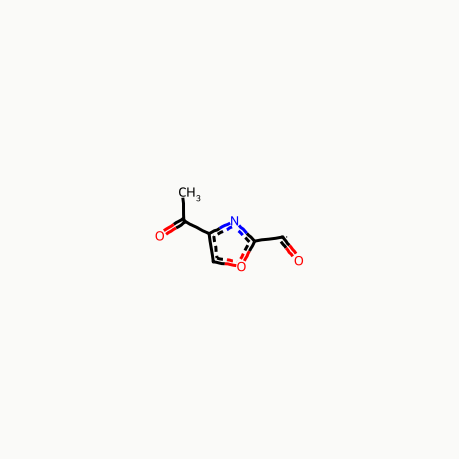 CC(=O)c1coc([C]=O)n1